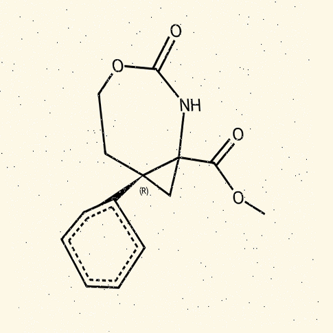 COC(=O)C12C[C@]1(c1ccccc1)CCOC(=O)N2